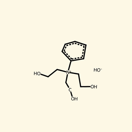 OCC[N+](CCO)(CCO)c1ccccc1.[OH-]